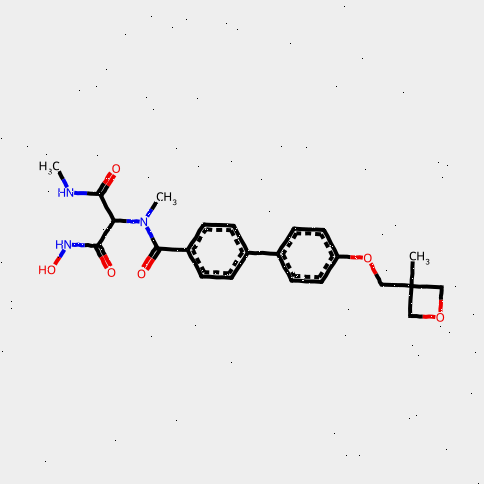 CNC(=O)C(C(=O)NO)N(C)C(=O)c1ccc(-c2ccc(OCC3(C)COC3)cc2)cc1